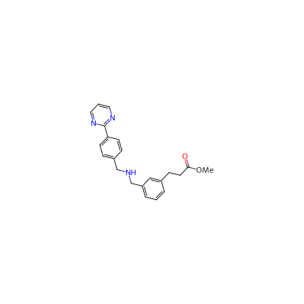 COC(=O)CCc1cccc(CNCc2ccc(-c3ncccn3)cc2)c1